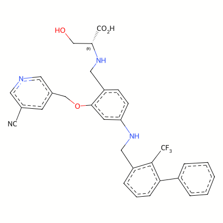 N#Cc1cncc(COc2cc(NCc3cccc(-c4ccccc4)c3C(F)(F)F)ccc2CN[C@H](CO)C(=O)O)c1